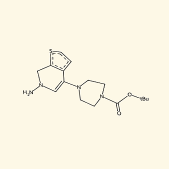 CC(C)(C)OC(=O)N1CCN(C2=CN(N)Cc3sccc32)CC1